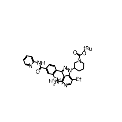 CCc1cnc(N)c2c(-c3ccc(C(=O)Nc4ccccn4)cc3C)nn([C@@H]3CCCN(C(=O)OC(C)(C)C)C3)c12